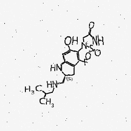 CC(C)CNC[C@@H]1Cc2c(cc(O)c(N3CC(=O)NS3(=O)=O)c2F)N1